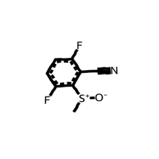 C[S+]([O-])c1c(F)ccc(F)c1C#N